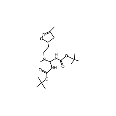 CC1=NOC(CCN(C)C(NC(=O)OC(C)(C)C)NC(=O)OC(C)(C)C)C1